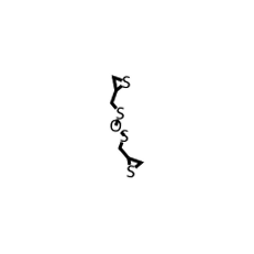 C(SOSCC1CS1)C1CS1